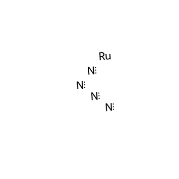 [N].[N].[N].[N].[Ru]